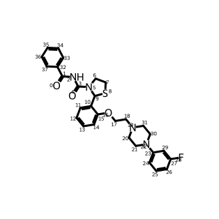 O=C(NC(=O)N1CCSC1c1ccccc1OCCN1CCN(c2cccc(F)c2)CC1)c1ccccc1